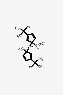 CC(C)C(C)(C)C1=C[C](C)([Zr+2][C]2(C)C=CC(C(C)(C)C(C)C)=C2)C=C1.[Cl-].[Cl-]